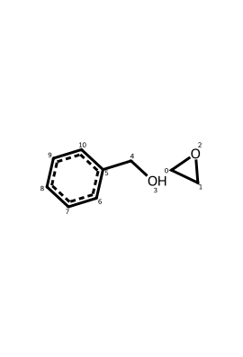 C1CO1.OCc1ccccc1